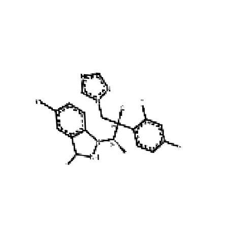 C[C@@H](N1NC(F)c2cc(Cl)ccc21)[C@](O)(Cn1cncn1)c1ccc(F)cc1F